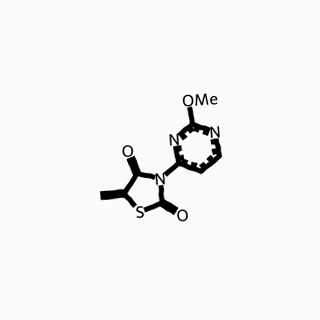 C=C1SC(=O)N(c2ccnc(OC)n2)C1=O